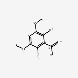 COc1cc(OC)c(F)c(C(C)=O)c1F